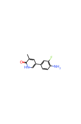 Cc1cc(-c2ccc(N)c(F)c2)c[nH]c1=O